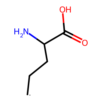 [CH2]CCC(N)C(=O)O